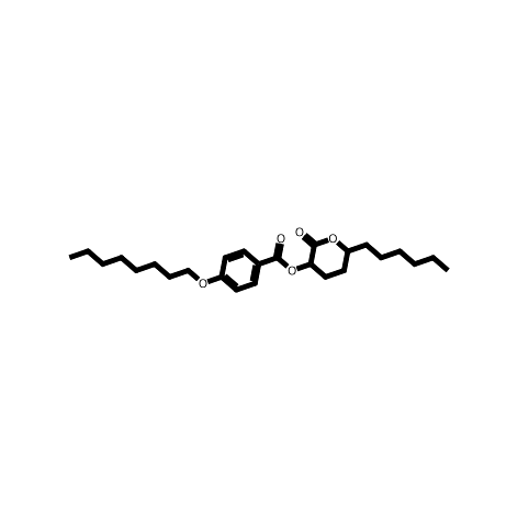 CCCCCCCCOc1ccc(C(=O)OC2CCC(CCCCCC)OC2=O)cc1